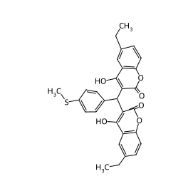 CCc1ccc2oc(=O)c(C(c3ccc(SC)cc3)c3c(O)c4cc(CC)ccc4oc3=O)c(O)c2c1